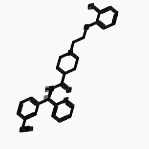 COc1cccc([C@@H](NC(=O)C2CCN(CCOc3ccccc3Cl)CC2)c2ccccn2)c1